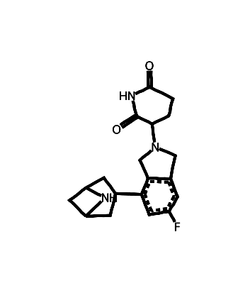 O=C1CCC(N2Cc3cc(F)cc(C4CC5CC(C4)N5)c3C2)C(=O)N1